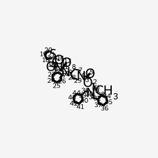 C[C@@H](COC(=O)N1CCC(n2c(=O)n(S(=O)(=O)c3cccs3)c3ccccc32)CC1)N(Cc1ccccc1)Cc1ccccc1